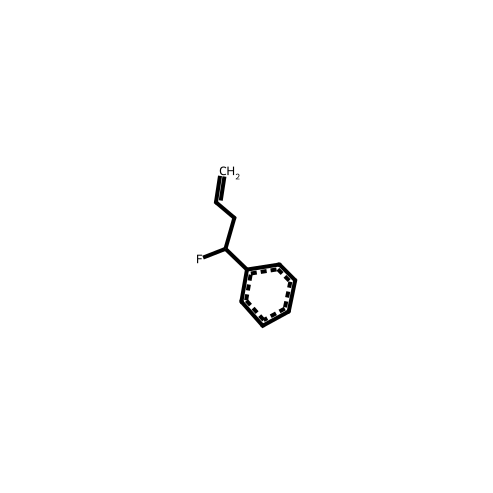 C=CCC(F)c1ccccc1